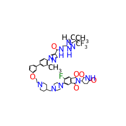 Cc1cc(-c2cccc(OCCN3CCC(CN4CCN(c5cc6c(cc5F)C(=O)N(C5CCC(=O)NC5=O)C6=O)CC4)CC3)c2)ccc1-n1cc(C(=O)NCc2nc(C(C)(C)C(F)(F)F)n[nH]2)cn1